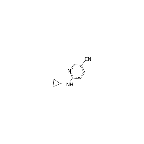 N#Cc1ccc(NC2CC2)nc1